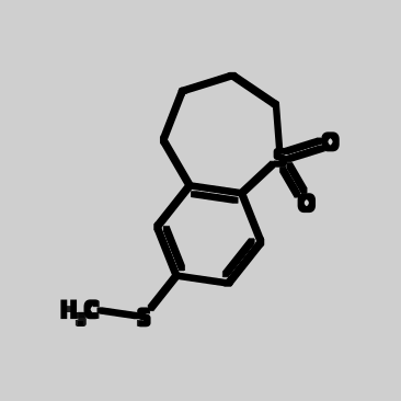 CSc1ccc2c(c1)CCCCS2(=O)=O